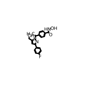 CCc1cc(-c2ccc(F)cc2)nn1C(C)c1ccc(C(=O)NO)cc1